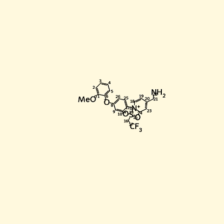 COc1ccccc1Oc1ccc([N+]2(S(=O)(=O)CC(F)(F)F)C=CC(CN)=CC2)cc1